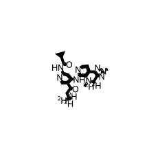 [2H]C([2H])([2H])CC(=O)c1cnc(NC(=O)C2CC2)cc1Nc1nccc2c1N(C)C([2H])([2H])c1nn(C)nc1-2